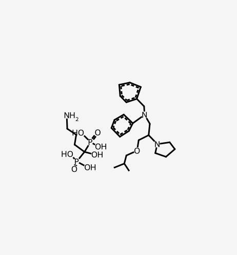 CC(C)COCC(CN(Cc1ccccc1)c1ccccc1)N1CCCC1.NCCCC(O)(P(=O)(O)O)P(=O)(O)O